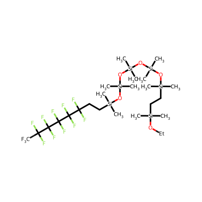 CCO[Si](C)(C)CC[Si](C)(C)O[Si](C)(C)O[Si](C)(C)O[Si](C)(C)O[Si](C)(C)CCC(F)(F)C(F)(F)C(F)(F)C(F)(F)C(F)(F)C(F)(F)F